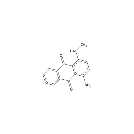 C[AsH]c1ccc(N)c2c1C(=O)c1ccccc1C2=O